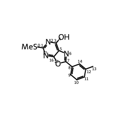 CSc1nc(O)c2nc(-c3cccc(C)c3)oc2n1